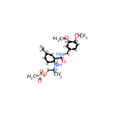 COc1ccc(CNC(=O)c2cc(C#N)ccc2NC(C)COS(C)(=O)=O)cc1OC